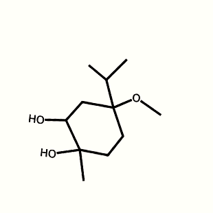 COC1(C(C)C)CCC(C)(O)C(O)C1